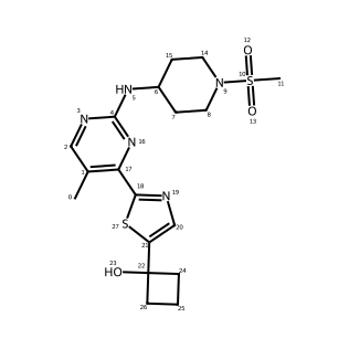 Cc1cnc(NC2CCN(S(C)(=O)=O)CC2)nc1-c1ncc(C2(O)CCC2)s1